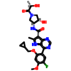 COc1cc(OCC2CC2)c(-c2ncnc3c(C(=O)N[C@@H]4CN(C(=O)[C@H](C)O)C[C@@H]4O)c(C)[nH]c23)cc1F